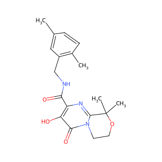 Cc1ccc(C)c(CNC(=O)c2nc3n(c(=O)c2O)CCOC3(C)C)c1